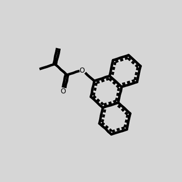 C=C(C)C(=O)Oc1cc2ccccc2c2ccccc12